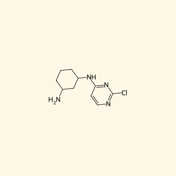 NC1CCCC(Nc2ccnc(Cl)n2)C1